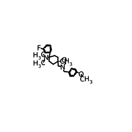 COc1ccc(CN(C=O)C[C@]2(C)CC[C@@](c3cccc(F)c3)(N(C)C)CC2)cc1